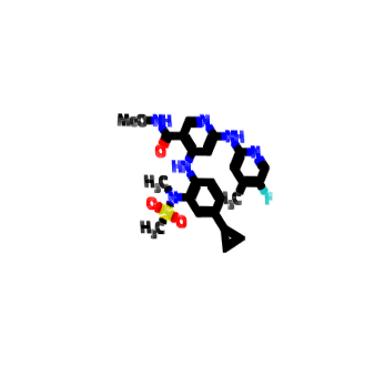 CONC(=O)c1cnc(Nc2cc(C)c(F)cn2)cc1Nc1ccc(C2CC2)cc1N(C)S(C)(=O)=O